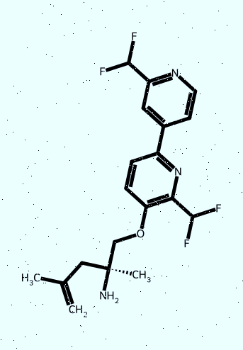 C=C(C)C[C@](C)(N)COc1ccc(-c2ccnc(C(F)F)c2)nc1C(F)F